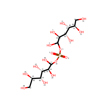 O=S(=O)(OC(O)[C@@H](O)[C@@H](O)[C@H](O)[C@H](O)CO)OC(O)[C@@H](O)[C@@H](O)[C@H](O)[C@H](O)CO